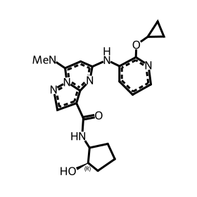 CNc1cc(Nc2cccnc2OC2CC2)nc2c(C(=O)NC3CCC[C@H]3O)cnn12